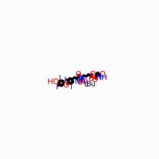 CC(C)(C)OC(=O)N(CCCC(=O)OC1CC(=O)NC1=O)C(=O)[C@@H](N)Cc1cc(I)c(Oc2cc(I)c(O)c(I)c2)c(I)c1